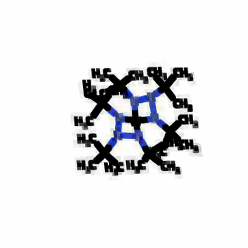 CC(C)(C)N1[N](C(C)(C)C)[W]2([N]1C(C)(C)C)[N](C(C)(C)C)N(C(C)(C)C)[N]2C(C)(C)C